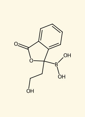 O=C1OC(CCO)(B(O)O)c2ccccc21